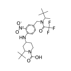 CC(N(Cc1ccc(NC2CCN(C(=O)O)C(C(C)(C)C)C2)c([N+](=O)[O-])c1)C(=O)C(F)(F)F)C(C)(C)C